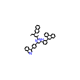 C/C=C(\C=C(/C)C1=NC(c2ccc(-c3cncc4ccccc34)cc2)=CC(c2cccc(-c3cc4ccccc4c4ccccc34)c2)N1)c1ccc2ccccc2c1